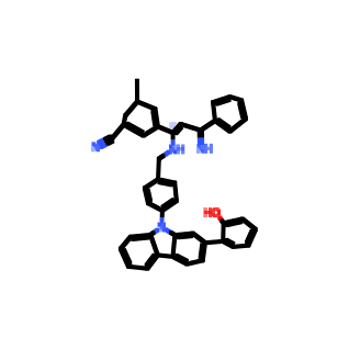 CC1C=C(/C(=C/C(=N)c2ccccc2)NCc2ccc(-n3c4ccccc4c4ccc(-c5ccccc5O)cc43)cc2)C=C(C#N)C1